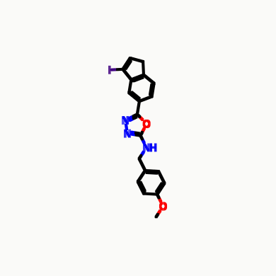 COc1ccc(CNc2nnc(-c3ccc4c(c3)C(I)=CC4)o2)cc1